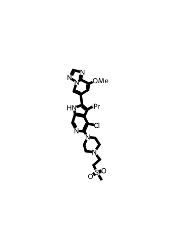 COc1cc(-c2[nH]c3cnc(N4CCN(CCS(C)(=O)=O)CC4)c(Cl)c3c2C(C)C)cn2ncnc12